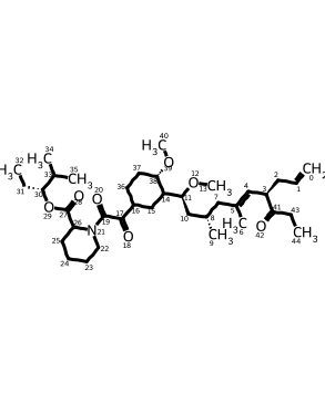 C=CC[C@H](/C=C(\C)C[C@H](C)C[C@H](OC)C1CC(C(=O)C(=O)N2CCCCC2C(=O)O[C@H](CC)C(C)C)CC[C@@H]1OC)C(=O)CC